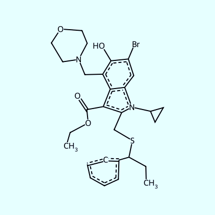 CCOC(=O)c1c(CSC(CC)c2ccccc2)n(C2CC2)c2cc(Br)c(O)c(CN3CCOCC3)c12